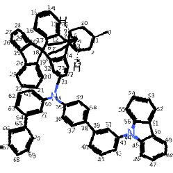 C[C@H]1C[C@@H]2CC(C)(C)C[C@H](C1)C21c2ccccc2C2(c3ccccc3-c3ccccc32)c2cc(N(c3ccc(-c4cccc(-n5c6ccccc6c6ccccc65)c4)cc3)c3cccc(-c4ccccc4)c3)ccc21